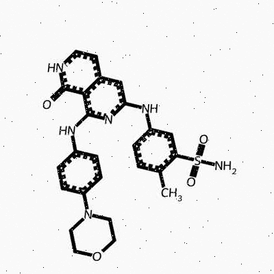 Cc1ccc(Nc2cc3cc[nH]c(=O)c3c(Nc3ccc(N4CCOCC4)cc3)n2)cc1S(N)(=O)=O